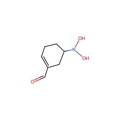 O=CC1=CCCC(N(O)O)C1